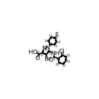 O=C(Nc1c(Br)c(C(=O)O)nn1-c1ccc(F)cc1)c1ccccc1Cl